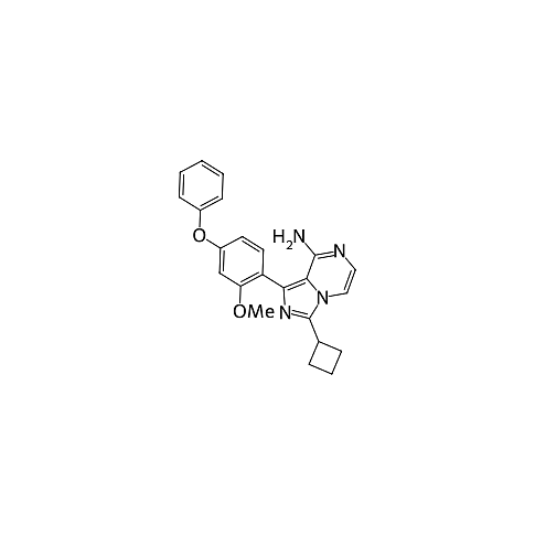 COc1cc(Oc2ccccc2)ccc1-c1nc(C2CCC2)n2ccnc(N)c12